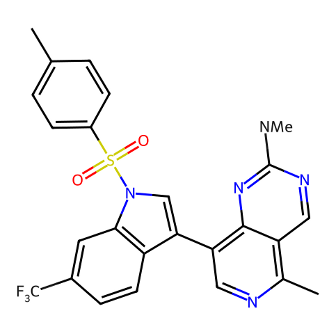 CNc1ncc2c(C)ncc(-c3cn(S(=O)(=O)c4ccc(C)cc4)c4cc(C(F)(F)F)ccc34)c2n1